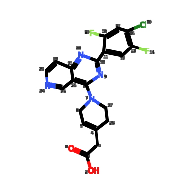 O=C(O)CC1=CCN(c2nc(-c3cc(F)c(Cl)cc3F)nc3ccncc23)CC1